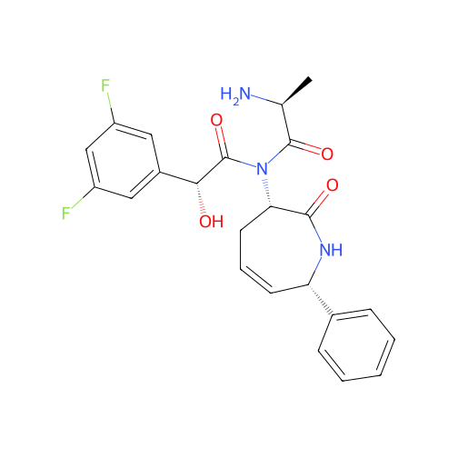 C[C@H](N)C(=O)N(C(=O)[C@H](O)c1cc(F)cc(F)c1)[C@H]1CC=C[C@@H](c2ccccc2)NC1=O